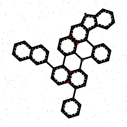 c1ccc(-c2ccc(N(c3ccccc3-c3ccccc3-c3ccc4ccccc4c3)c3ccccc3-c3cccc4sc5ccccc5c34)cc2)cc1